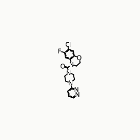 O=C(N1CCN(c2cccnn2)CC1)N1CCOc2cc(Cl)c(F)cc21